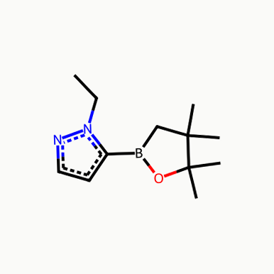 CCn1nccc1B1CC(C)(C)C(C)(C)O1